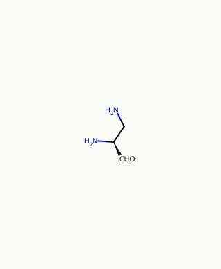 NC[C@H](N)[C]=O